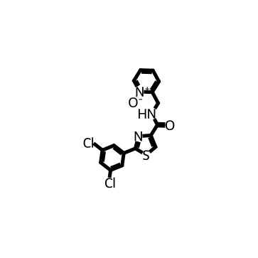 O=C(NCc1cccc[n+]1[O-])c1csc(-c2cc(Cl)cc(Cl)c2)n1